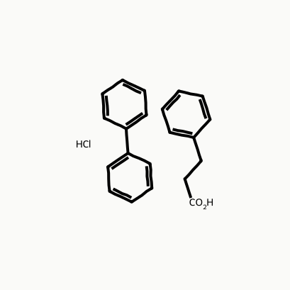 Cl.O=C(O)CCc1ccccc1.c1ccc(-c2ccccc2)cc1